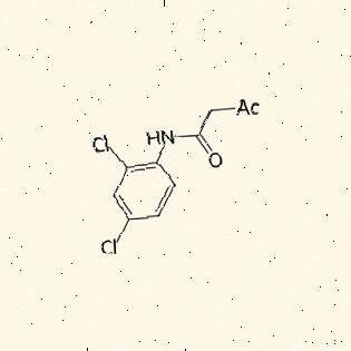 CC(=O)CC(=O)Nc1ccc(Cl)cc1Cl